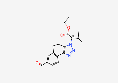 CCOC(=O)[C@@H](C(C)C)n1nnc2c1CCc1cc(C=O)ccc1-2